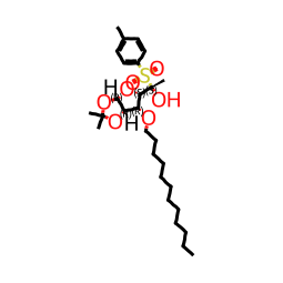 CCCCCCCCCCCCO[C@@H]1[C@H]2OC(C)(C)O[C@H]2O[C@@H]1[C@@](C)(O)S(=O)(=O)c1ccc(C)cc1